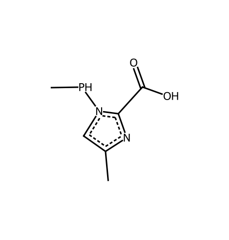 CPn1cc(C)nc1C(=O)O